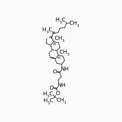 CC(C)CCC[C@@H](C)[C@H]1CCC2C3CC=C4CC(NC(=O)CCNC(=O)OC(C)(C)C)CC[C@]4(C)C3CC[C@@]21C